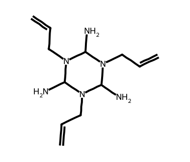 C=CCN1C(N)N(CC=C)C(N)N(CC=C)C1N